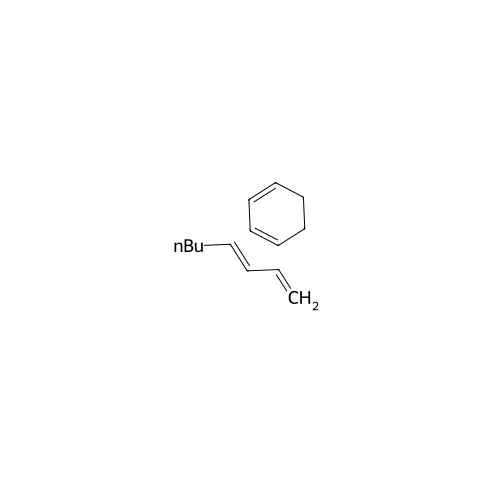 C1=CCCC=C1.C=CC=CCCCC